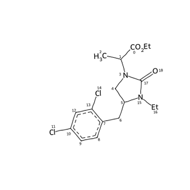 CCOC(=O)C(C)N1CC(Cc2ccc(Cl)cc2Cl)N(CC)C1=O